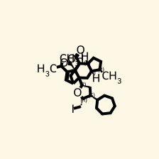 CC(C)C1=CC2CC3(C=O)[C@@H]4CC[C@@H](C)[C@H]4CC2([C@H]2C[C@@H](C4CCCCCC4)[C@H](CI)O2)[C@]13C(=O)O